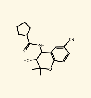 CC1(C)Oc2ccc(C#N)cc2C(NC(=S)N2CCCC2)C1O